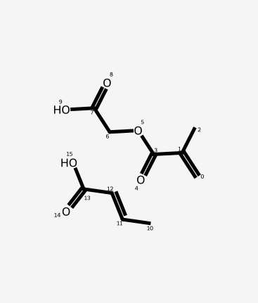 C=C(C)C(=O)OCC(=O)O.CC=CC(=O)O